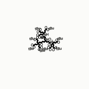 CC(C)(C)OC(=O)CCC(CCC(=O)OC(C)(C)C)(CCC(=O)OC(C)(C)C)CC(=O)CCC(CCC(=O)NC(CCC(=O)OC(C)(C)C)(CCC(=O)OC(C)(C)C)CCC(=O)OC(C)(C)C)(CCC(=O)NC(CCC(=O)OC(C)(C)C)(CCC(=O)OC(C)(C)C)CCC(=O)OC(C)(C)C)[N+](=O)[O-]